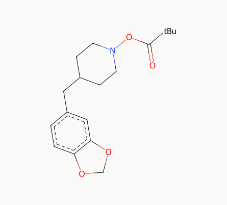 CC(C)(C)C(=O)ON1CCC(Cc2ccc3c(c2)OCO3)CC1